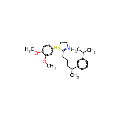 COc1ccc([SH]2CCN=C2CCCC(C)c2cccc(C(C)C)c2)cc1OC